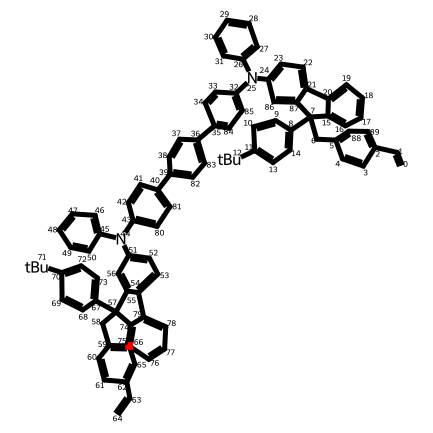 C=Cc1ccc(CC2(c3ccc(C(C)(C)C)cc3)c3ccccc3-c3ccc(N(c4ccccc4)c4ccc(-c5ccc(-c6ccc(N(c7ccccc7)c7ccc8c(c7)C(Cc7ccc(C=C)cc7)(c7ccc(C(C)(C)C)cc7)c7ccccc7-8)cc6)cc5)cc4)cc32)cc1